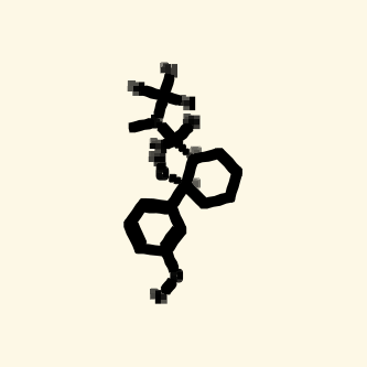 [2H]Oc1cccc([C@]2(O[2H])CCCC[C@H]2C([2H])([2H])N(C)C([2H])([2H])[2H])c1